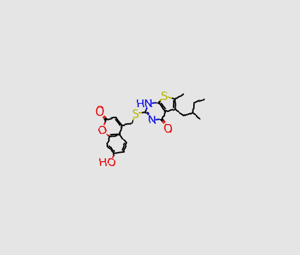 CCC(C)Cc1c(C)sc2[nH]c(SCc3cc(=O)oc4cc(O)ccc34)nc(=O)c12